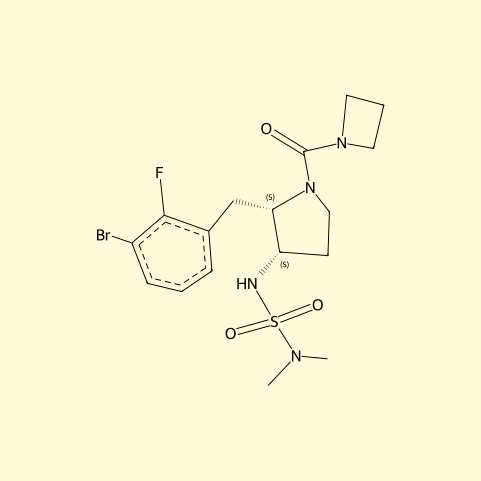 CN(C)S(=O)(=O)N[C@H]1CCN(C(=O)N2CCC2)[C@H]1Cc1cccc(Br)c1F